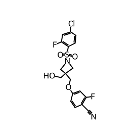 N#Cc1ccc(OCC2(CO)CN(S(=O)(=O)c3ccc(Cl)cc3F)C2)cc1F